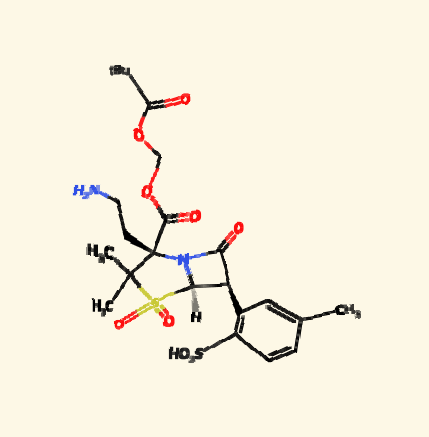 Cc1ccc(S(=O)(=O)O)c([C@@H]2C(=O)N3[C@@H]2S(=O)(=O)C(C)(C)[C@]3(CCN)C(=O)OCOC(=O)C(C)(C)C)c1